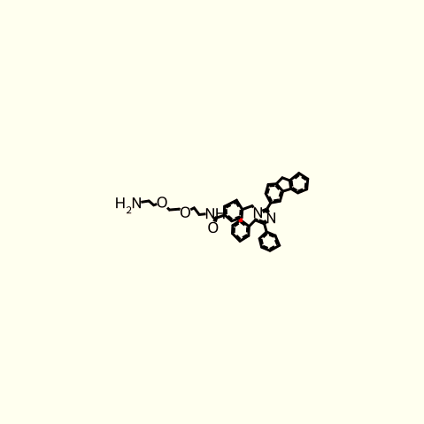 NCCOCCOCCNC(=O)c1ccc(Cn2c(-c3ccc4c(c3)-c3ccccc3C4)nc(-c3ccccc3)c2-c2ccccc2)cc1